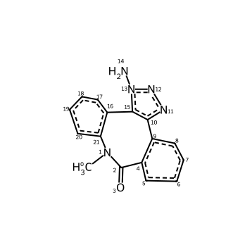 CN1C(=O)c2ccccc2-c2nnn(N)c2-c2ccccc21